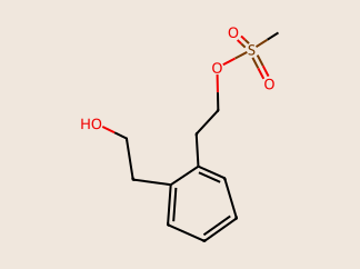 CS(=O)(=O)OCCc1ccccc1CCO